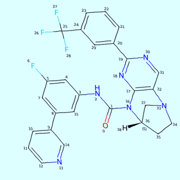 O=C(Nc1cc(F)cc(-c2cccnc2)c1)N1c2nc(-c3cccc(C(F)(F)F)c3)ncc2N2CC[C@H]1C2